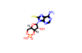 Nc1ncnc2c1nc(S)n2[C@@H]1O[C@@H]2COP(=O)(O)O[C@H]2[C@H]1O